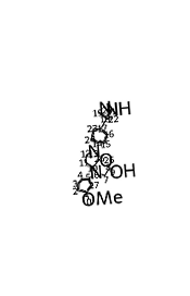 COc1cccc(N(CCO)C2CCN(c3ccc(-c4cn[nH]c4)cc3)C2=O)c1